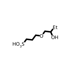 CCC(O)COCCCS(=O)(=O)O